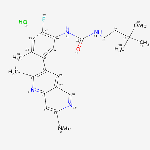 CNc1cc2nc(C)c(-c3cc(NC(=O)NCCC(C)(C)OC)c(F)cc3C)cc2cn1.Cl